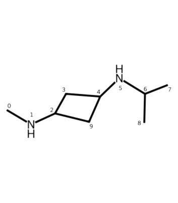 CNC1CC(NC(C)C)C1